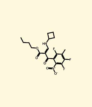 CCCCOC(=O)C(=CNC1CCC1)C(=O)c1c(F)c(C)c(F)c(F)c1[N+](=O)[O-]